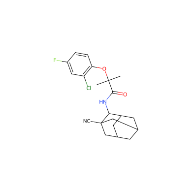 CC(C)(Oc1ccc(F)cc1Cl)C(=O)NC1C2CC3CC(C2)CC1(C#N)C3